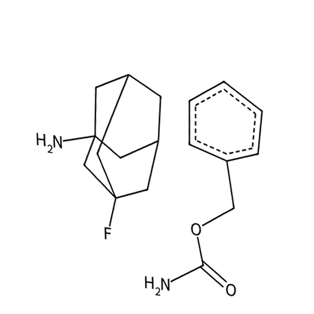 NC(=O)OCc1ccccc1.NC12CC3CC(C1)CC(F)(C3)C2